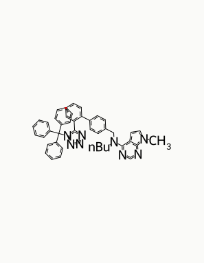 CCCCN(Cc1ccc(-c2ccccc2-c2nnnn2C(c2ccccc2)(c2ccccc2)c2ccccc2)cc1)c1ncnc2c1ccn2C